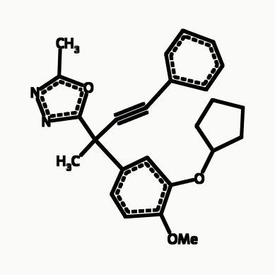 COc1ccc(C(C)(C#Cc2ccccc2)c2nnc(C)o2)cc1OC1CCCC1